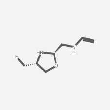 C=CNC[C@@H]1N[C@@H](CF)CO1